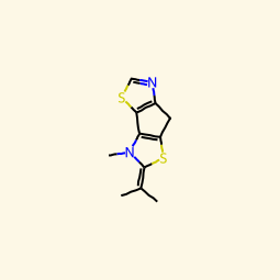 CC(C)=C1SC2=C(c3scnc3C2)N1C